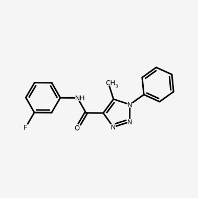 Cc1c(C(=O)Nc2cccc(F)c2)nnn1-c1ccccc1